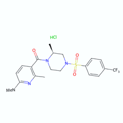 CNc1ccc(C(=O)N2CCN(S(=O)(=O)c3ccc(C(F)(F)F)cc3)C[C@@H]2C)c(C)n1.Cl